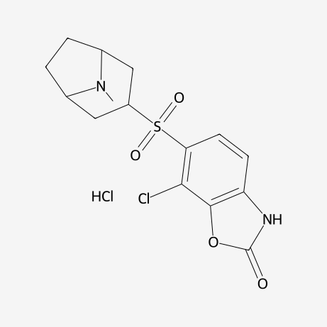 CN1C2CCC1CC(S(=O)(=O)c1ccc3[nH]c(=O)oc3c1Cl)C2.Cl